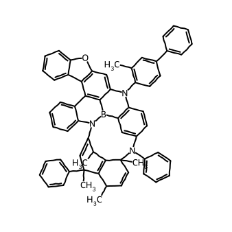 Cc1cc(-c2ccccc2)ccc1N1c2ccc3cc2B2c4c1cc1oc5ccccc5c1c4-c1ccccc1N2C1=CC(C)(c2ccccc2)C2=C(C1C)C(C)(C=CC2C)N3c1ccccc1